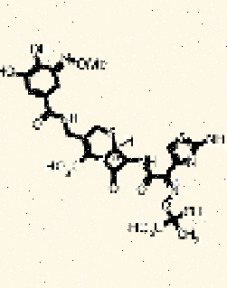 CON=C1CC(C(=O)NCC2=C(C(=O)O)N3C(=O)C(NC(=O)/C(=N\OC(C)(C)C(=O)O)c4csc(N)n4)[C@@H]3SC2)=CC(O)=C1O